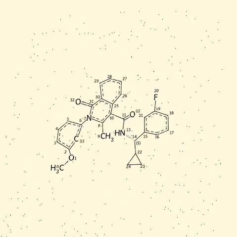 COc1cccc(-n2c(C)c(C(=O)N[C@H](c3cccc(F)c3)C3CC3)c3ccccc3c2=O)c1